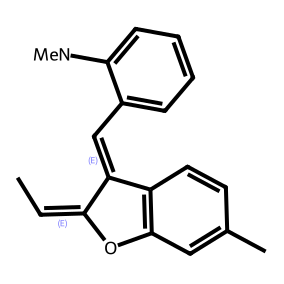 C/C=c1/oc2cc(C)ccc2/c1=C\c1ccccc1NC